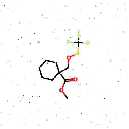 COC(=O)C1(COSC(F)(F)F)CCCCC1